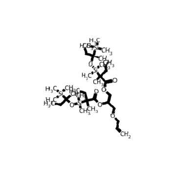 C=CCOCC(COC(=O)C(C)(CC)[Si](C)(C)O[C@](C)(CC)[Si](C)(C)C)OC(=O)C(C)(CC)[Si](C)(C)OC(C)(CC)[Si](C)(C)C